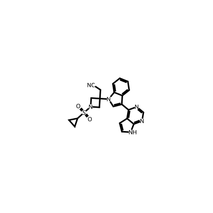 N#CCC1(n2cc(-c3ncnc4[nH]ccc34)c3ccccc32)CN(S(=O)(=O)C2CC2)C1